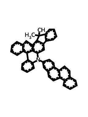 CC1(C)c2ccccc2-c2cc(N(c3ccc4c(ccc5c6ccccc6ccc45)c3)c3ccccc3-c3cccc4ccccc34)ccc21